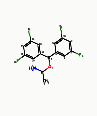 CC(N)OB(c1cc(F)cc(F)c1)c1cc(F)cc(F)c1